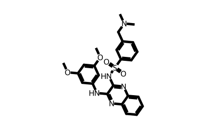 COc1cc(Nc2nc3ccccc3nc2NS(=O)(=O)c2cccc(CN(C)C)c2)cc(OC)c1